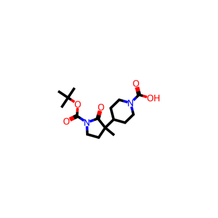 CC(C)(C)OC(=O)N1CCC(C)(C2CCN(C(=O)O)CC2)C1=O